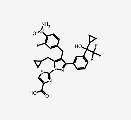 N[S+]([O-])c1ccc(Cc2c(-c3cccc(C(O)(C4CC4)C(F)(F)F)c3)nn(-c3nc(C(=O)O)cs3)c2CC2CC2)cc1F